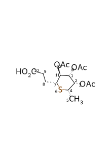 CC(=O)O[C@@H]1[C@H](OC(C)=O)[C@H](C)S[C@H](CCC(=O)O)[C@H]1OC(C)=O